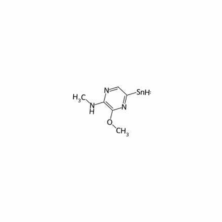 CNc1nc[c]([SnH])nc1OC